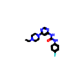 CCN1CCN(c2cc(NC(=O)Nc3ccc(F)cc3)ncn2)CC1